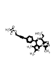 Cc1sc2c(c1C)C(c1ccc(C#CCOS(C)(=O)=O)cc1)=N[C@@H](CC(=O)O)c1nnc(C)n1-2